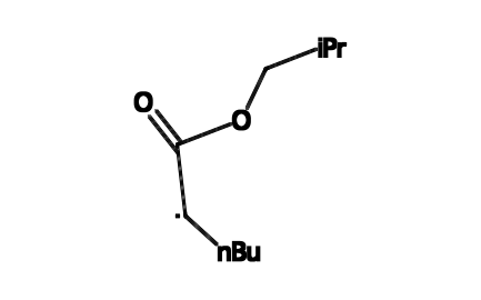 CCCC[CH]C(=O)OCC(C)C